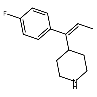 CC=C(c1ccc(F)cc1)C1CCNCC1